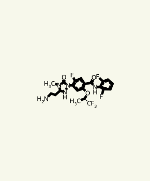 C[C@H](Oc1cc(N2NC(CCN)N(C)C2=O)c(F)cc1C(=O)Nc1c(F)cccc1F)C(F)(F)F